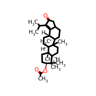 CC(=O)O[C@H]1CC[C@@]2(C)[C@@H](CCC3(C)[C@@H]2CC[C@@H]2C4=C(C(C)C)C(=O)CC4CC[C@]23C)C1(C)C